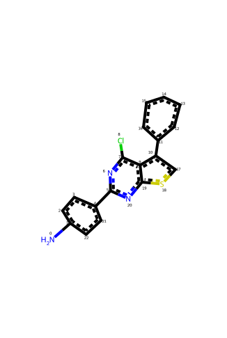 Nc1ccc(-c2nc(Cl)c3c(-c4ccccc4)csc3n2)cc1